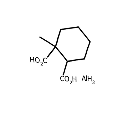 CC1(C(=O)O)CCCCC1C(=O)O.[AlH3]